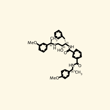 COc1ccc([C@@H](C)NC(=O)c2cccc(C(=O)N[C@@H](Cc3ccccc3)[C@H](O)CN[C@H](C)c3cccc(OC)c3)c2)cc1